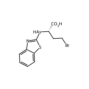 O=C(O)[C@H](CCBr)[AsH]c1nc2ccccc2s1